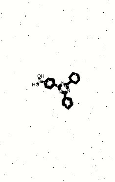 OB(O)c1ccc(-c2nc(-c3ccccc3)nc(C3CCCCC3)n2)cc1